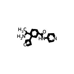 CC(N)c1ccc(C(=O)Nc2ccncc2)cc1-c1ccoc1